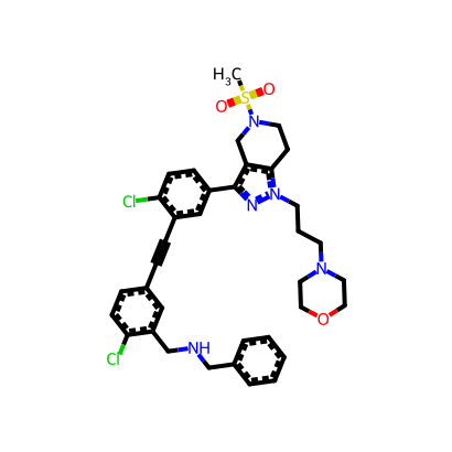 CS(=O)(=O)N1CCc2c(c(-c3ccc(Cl)c(C#Cc4ccc(Cl)c(CNCc5ccccc5)c4)c3)nn2CCCN2CCOCC2)C1